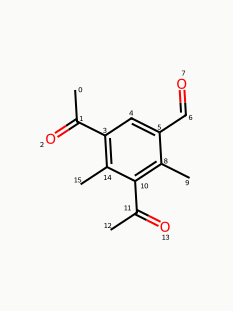 CC(=O)c1cc(C=O)c(C)c(C(C)=O)c1C